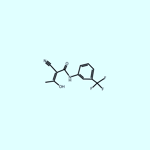 CC(O)=C(C#N)C(=O)Nc1cccc(C(F)(F)F)c1